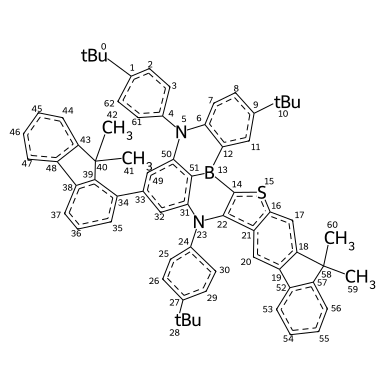 CC(C)(C)c1ccc(N2c3ccc(C(C)(C)C)cc3B3c4sc5cc6c(cc5c4N(c4ccc(C(C)(C)C)cc4)c4cc(-c5cccc7c5C(C)(C)c5ccccc5-7)cc2c43)-c2ccccc2C6(C)C)cc1